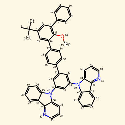 CCC(C)(CC)c1cc(-c2ccccc2)c(OC(C)C)c(-c2ccc(-c3cc(-n4c5ccccc5c5ncccc54)cc(-n4c5ccccc5c5ncccc54)c3)cc2)c1